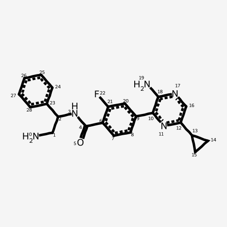 NCC(NC(=O)c1ccc(-c2nc(C3CC3)cnc2N)cc1F)c1ccccc1